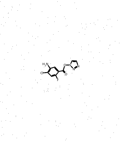 Nc1cc(C(=O)On2ccnn2)c(F)cc1Cl